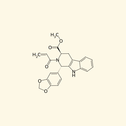 C=CC(=O)N1[C@@H](c2ccc3c(c2)OCO3)c2[nH]c3ccccc3c2C[C@@H]1C(=O)OC